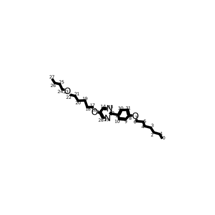 CCCCCCCOc1ccc(-c2ncc(OCCCCCCOCCCC)cn2)cc1